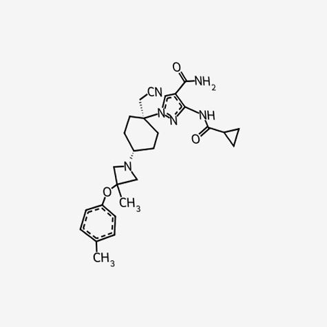 Cc1ccc(OC2(C)CN([C@H]3CC[C@](CC#N)(n4cc(C(N)=O)c(NC(=O)C5CC5)n4)CC3)C2)cc1